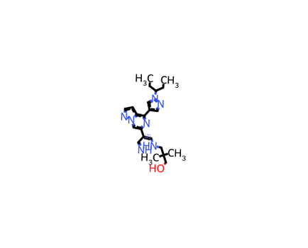 CCC(CC)n1cc(-c2nc(/C(C=N)=C/NCC(C)(C)CO)cn3nccc23)cn1